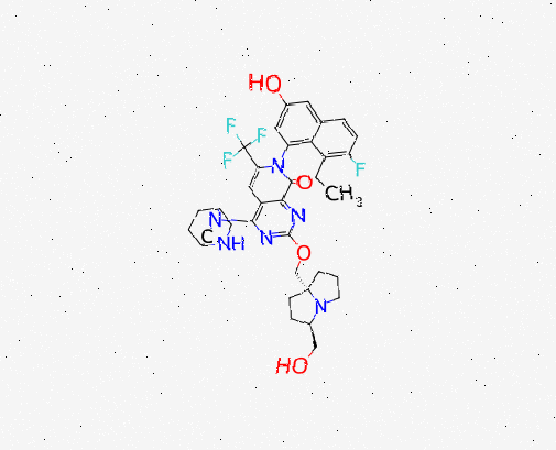 CCc1c(F)ccc2cc(O)cc(-n3c(C(F)(F)F)cc4c(N5CC6CCC5CN6)nc(OC[C@]56CCCN5[C@@H](CO)CC6)nc4c3=O)c12